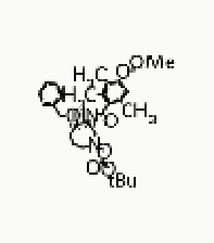 COCOc1cc(C)c(C(=O)N[C@@H]2CN(OC(=O)OC(C)(C)C)CCC[C@H]2OCc2ccccc2)c(C)c1C